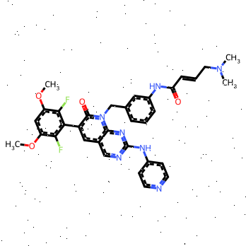 COc1cc(OC)c(F)c(-c2cc3cnc(Nc4ccncc4)nc3n(Cc3cccc(NC(=O)/C=C/CN(C)C)c3)c2=O)c1F